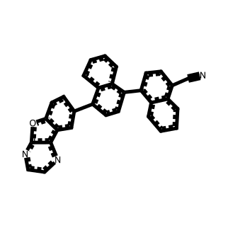 N#Cc1ccc(-c2ccc(-c3ccc4oc5nccnc5c4c3)c3ccccc23)c2ccccc12